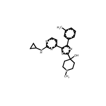 Cc1cccc(-c2nc(C3(O)CCN(C)CC3)sc2-c2ccnc(NC3CC3)n2)c1